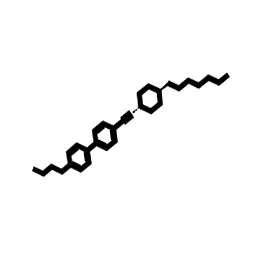 CCCCCCC[C@H]1CC[C@H](C#Cc2ccc(-c3ccc(CCCC)cc3)cc2)CC1